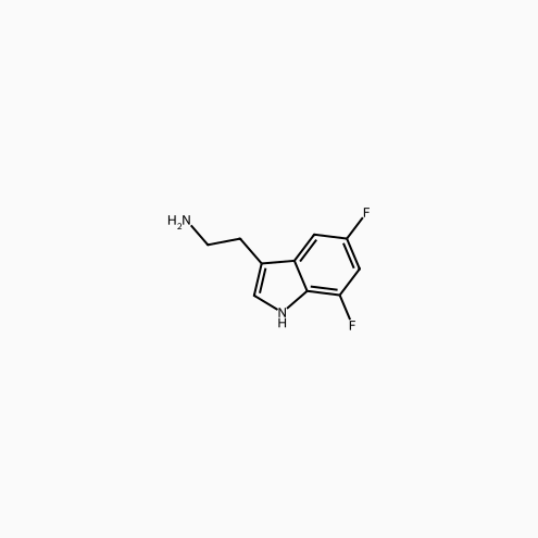 NCCc1c[nH]c2c(F)cc(F)cc12